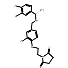 CCc1cc(CN[C@@H](C)c2ccc(Cl)c(F)c2)ccc1OCCN1C(=O)CCC1=O